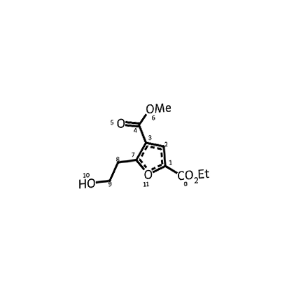 CCOC(=O)c1cc(C(=O)OC)c(CCO)o1